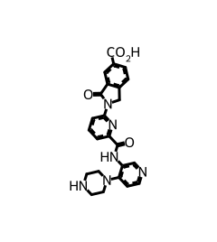 O=C(O)c1ccc2c(c1)C(=O)N(c1cccc(C(=O)Nc3cnccc3N3CCNCC3)n1)C2